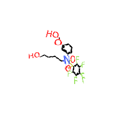 O=S(=O)(c1c(F)c(F)c(F)c(F)c1F)N(CCCCCO)c1cccc(OCO)c1